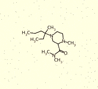 CCCC(C)(CC)N1CCN(C)C(C(=O)N(C)C)C1